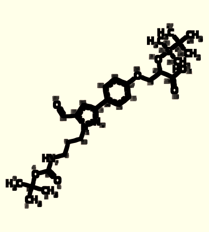 CC(C)(C)OC(=O)NCCCn1nc(-c2ccc(OCC(O[Si](C)(C)C(C)(C)C)C(=O)O)cc2)cc1C=O